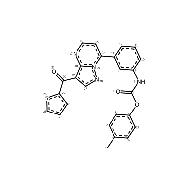 Cc1ccc(OC(=O)Nc2cccc(-c3ccnc4c(C(=O)c5cccs5)cnn34)c2)cc1